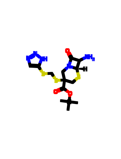 C[Si](C)(C)OC(=O)C1(SCSc2cnn[nH]2)CS[C@@H]2C(N)C(=O)N2C1